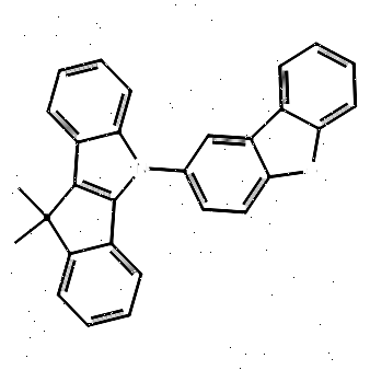 CC1(C)c2ccccc2-c2c1c1ccccc1n2-c1ccc2oc3ccccc3c2c1